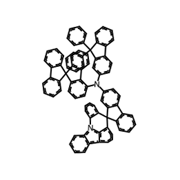 c1ccc(C2(c3ccccc3)c3ccccc3-c3ccc(N(c4ccc5c(c4)C4(c6ccccc6-5)c5ccccc5-n5c6ccccc6c6cccc4c65)c4cccc5c4-c4ccccc4C54c5ccccc5-c5ccccc54)cc32)cc1